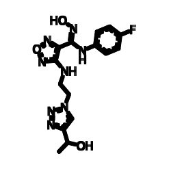 CC(O)c1cn(CCNc2nonc2C(=NO)Nc2ccc(F)cc2)nn1